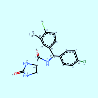 O=C1NC[C@@H](C(=O)N[C@H](c2ccc(Cl)cc2)c2ccc(F)c(C(F)(F)F)c2)N1